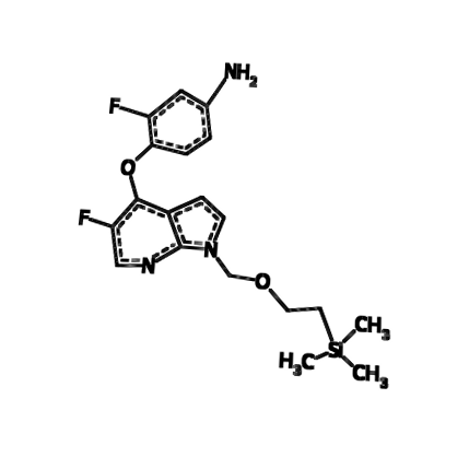 C[Si](C)(C)CCOCn1ccc2c(Oc3ccc(N)cc3F)c(F)cnc21